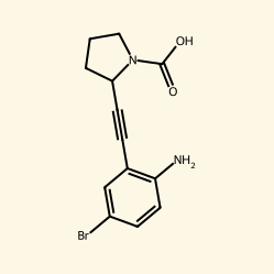 Nc1ccc(Br)cc1C#CC1CCCN1C(=O)O